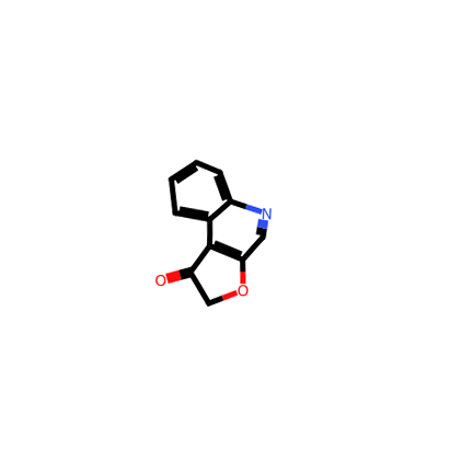 O=C1COc2cnc3ccccc3c21